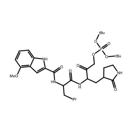 COc1cccc2[nH]c(C(=O)NC(CC(C)C)C(=O)NC(CC3CCNC3=O)C(=O)COP(=O)(OC(C)(C)C)OC(C)(C)C)cc12